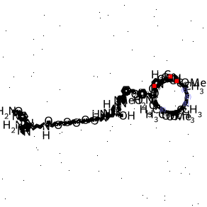 CO[C@H]1C[C@@H]2CC[C@@H](C)[C@@](O)(O2)C(=O)C(=O)N2CCCC[C@H]2C(=O)O[C@H]([C@H](N)C[C@@H]2CC[C@@H](OCc3cccc(-c4cnc(N5CCN(CC6=CN(CCOCCOCCOCCOCCOCCC(=O)NCCCCn7nc(-c8ccc9oc(N)nc9c8)c8c(N)ncnc87)NN6)C(CO)C5)nc4)c3)[C@H](OC)C2)CC(=O)[C@H](C)/C=C(\C)[C@@H](O)[C@@H](OC)C(=O)[C@H](C)C[C@H](C)/C=C/C=C/C=C/1C